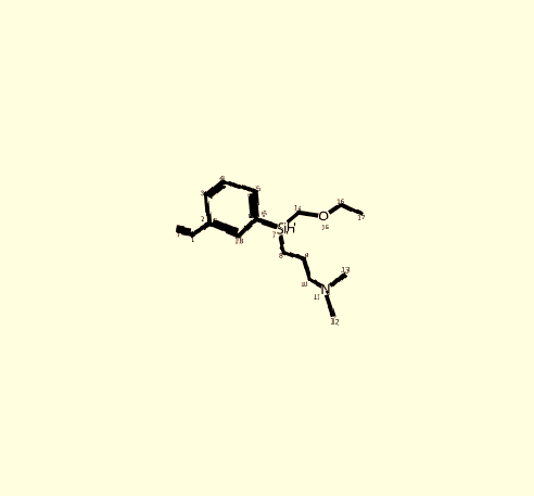 C=Cc1cccc([SiH](CCCN(C)C)COCC)c1